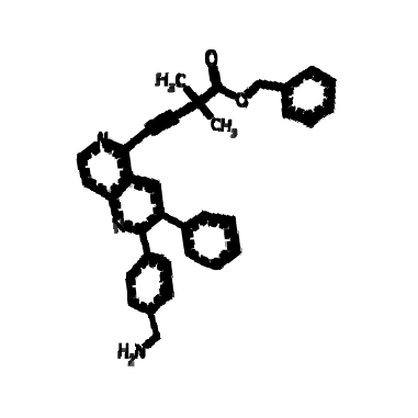 CC(C)(C#Cc1nccc2nc(-c3ccc(CN)cc3)c(-c3ccccc3)cc12)C(=O)OCc1ccccc1